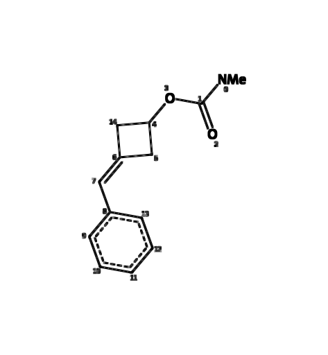 CNC(=O)OC1CC(=Cc2ccccc2)C1